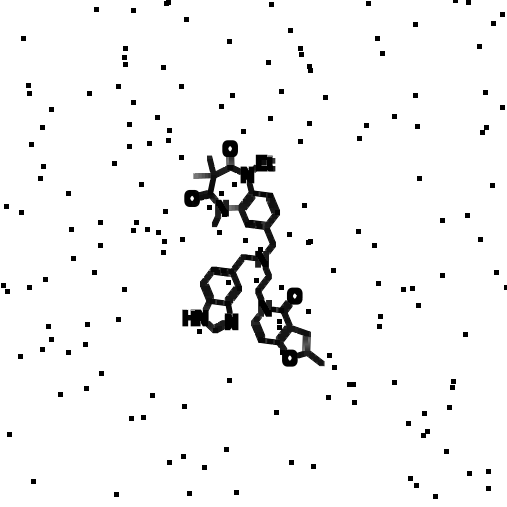 CCN1C(=O)C(C)(C)C(=O)N(C)c2cc(CN(CCn3ccc4oc(C)cc4c3=O)Cc3ccc4[nH]cnc4c3)ccc21